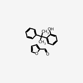 CC(C)(c1ccccc1)c1ccccc1O.O=Cc1ccco1